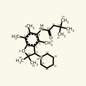 Cc1c(C)c2c(c(C)c1NC(=O)CC(C)(C)C)C(N1CCCCC1)C(C)(C)O2